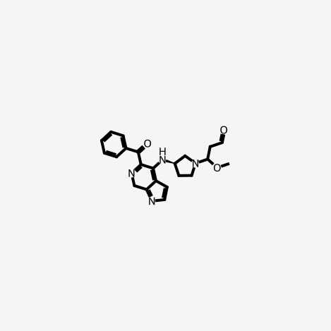 COC(CC=O)N1CC[C@@H](NC2=C3C=CN=C3CN=C2C(=O)c2ccccc2)C1